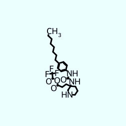 CCCCCCCCc1ccc(NC(=O)NC2(CCC(=O)OC(=O)C(F)(F)F)CCCNC2)cc1